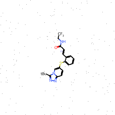 CC(C)(C)c1nnc2ccc(Sc3ccccc3/C=C/C(=O)NCC(F)(F)F)cn12